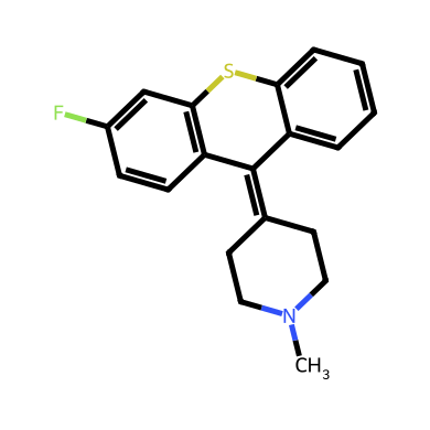 CN1CCC(=C2c3ccccc3Sc3cc(F)ccc32)CC1